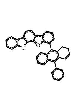 C1=Cc2c(c(-c3cccc4c3oc3c4ccc4c5ccccc5oc43)c3ccccc3c2-c2ccccc2)CC1